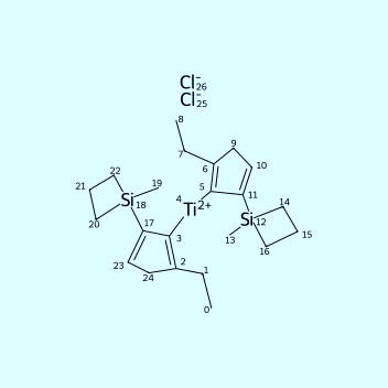 CCC1=[C]([Ti+2][C]2=C(CC)CC=C2[Si]2(C)CCC2)C([Si]2(C)CCC2)=CC1.[Cl-].[Cl-]